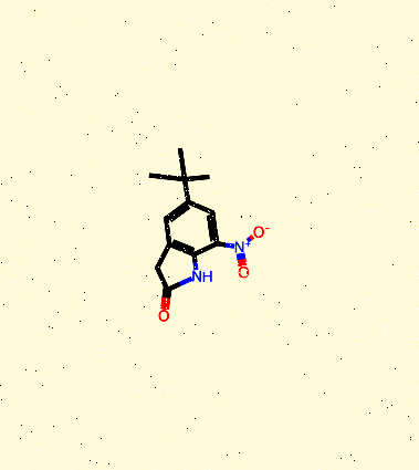 CC(C)(C)c1cc2c(c([N+](=O)[O-])c1)NC(=O)C2